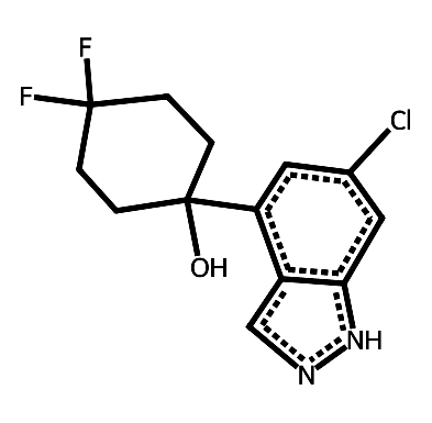 OC1(c2cc(Cl)cc3[nH]ncc23)CCC(F)(F)CC1